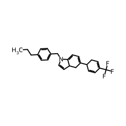 CCCc1ccc(CN2C=CC3CC(C4C=CC(C(F)(F)F)=CC4)=CC=C32)cc1